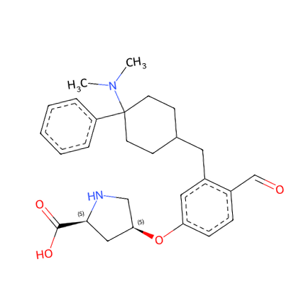 CN(C)C1(c2ccccc2)CCC(Cc2cc(O[C@@H]3CN[C@H](C(=O)O)C3)ccc2C=O)CC1